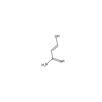 N=C(N)/C=C/O